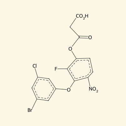 O=C(O)CC(=O)Oc1ccc([N+](=O)[O-])c(Oc2cc(Cl)cc(Br)c2)c1F